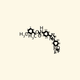 Cc1cccc(C(C)OC(=O)Nc2ccc(-c3ncn(-c4ccc(OC(F)(F)F)cc4)n3)cc2)c1